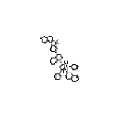 CC1(C)c2cc(-c3ccc(-c4cc(-c5ccccc5-c5ccc6ccccc6c5)nc(-c5ccccc5)n4)c4ccccc34)ccc2-c2c1ccc1ccccc21